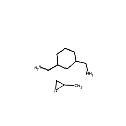 CC1CO1.NCC1CCCC(CN)C1